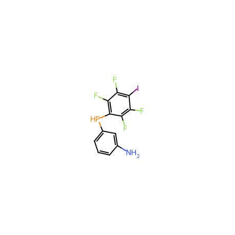 Nc1cccc(Pc2c(F)c(F)c(I)c(F)c2F)c1